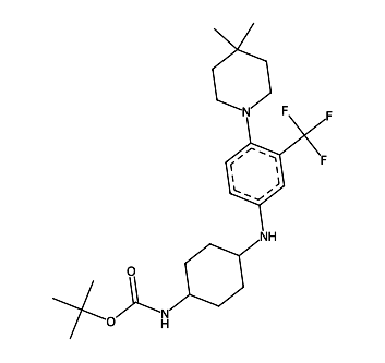 CC1(C)CCN(c2ccc(NC3CCC(NC(=O)OC(C)(C)C)CC3)cc2C(F)(F)F)CC1